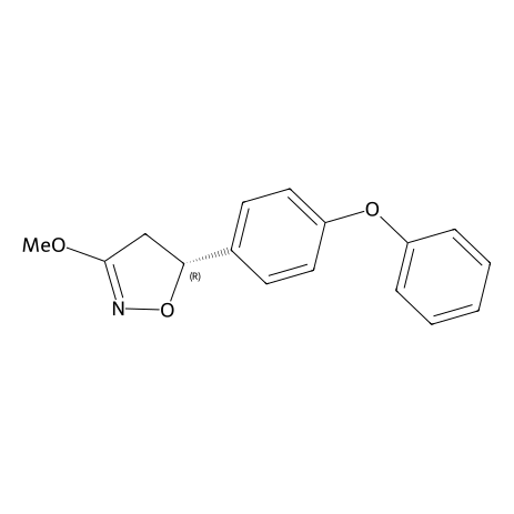 COC1=NO[C@@H](c2ccc(Oc3ccccc3)cc2)C1